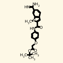 Cn1c(C(=O)Nc2ccc(OCC(=O)OC(C)(C)C)cc2)cc2ccc(C(=N)N)cc21